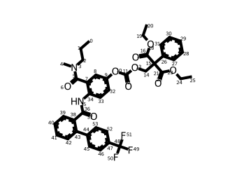 CCCN(C)C(=O)c1cc(OC(=O)OCC(C(=O)OCC)(C(=O)OCC)c2ccccc2)ccc1NC(=O)c1ccccc1-c1ccc(C(F)(F)F)cc1